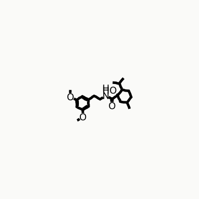 COc1cc(CCNC(=O)[C@@]2(O)CC(C)CCC2C(C)C)cc(OC)c1